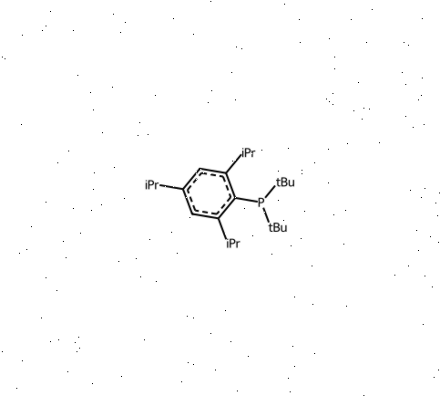 CC(C)c1cc(C(C)C)c(P(C(C)(C)C)C(C)(C)C)c(C(C)C)c1